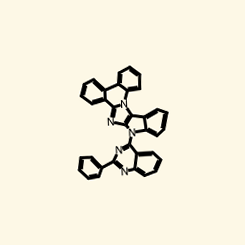 c1ccc(-c2nc(-n3c4ccccc4c4c3nc3c5ccccc5c5ccccc5n34)c3ccccc3n2)cc1